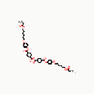 C=CC(=O)OCCCCCCOc1ccc(OC(=O)C2CCC(C(=O)OC(=O)C3CCC(C(=O)Oc4ccc(OCCCCCCOC(=O)C=C)cc4)CC3)CC2)cc1